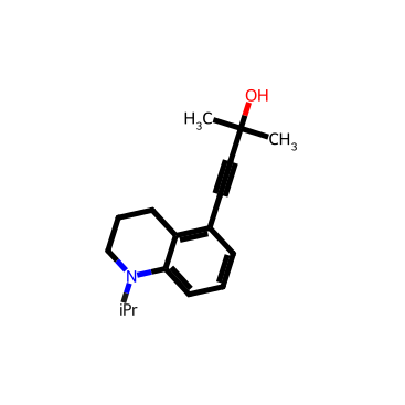 CC(C)N1CCCc2c(C#CC(C)(C)O)cccc21